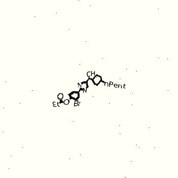 CCCCCC1CCC(C(C)c2cnc(-c3ccc(OC(=O)CC)c(Br)c3)nc2)CC1